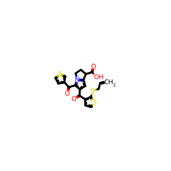 C=CCSc1sccc1C(=O)c1cc2n(c1C(=O)c1ccsc1)CCC2C(=O)O